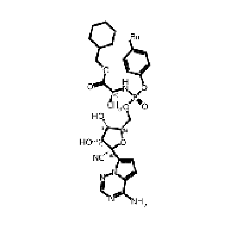 C[C@H](NP(=O)(OC[C@H]1O[C@@](C#N)(c2ccc3c(N)ncnn23)[C@H](O)[C@@H]1O)Oc1ccc(C(C)(C)C)cc1)C(=O)OCC1CCCCC1